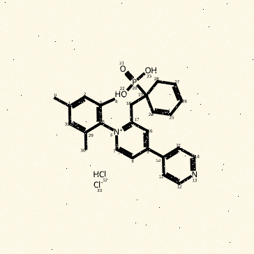 Cc1cc(C)c(-[n+]2ccc(-c3ccncc3)cc2CC2(P(=O)(O)O)C=CC=CC2)c(C)c1.Cl.[Cl-]